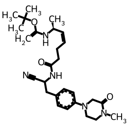 C=C(N[C@@H](C)/C=C\CCC(=O)NC(C#N)Cc1ccc(N2CCN(C)C(=O)C2)cc1)OC(C)(C)C